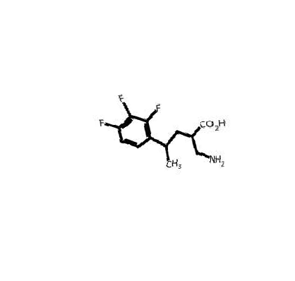 CC(CC(CN)C(=O)O)c1ccc(F)c(F)c1F